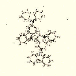 C1=CC2c3ccccc3N(c3cc4c5ccccc5n5c4c(c3)c3c5c4cc(-n5c6ccccc6c6ccccc65)cc5c6ccccc6n3c54)C2C=C1